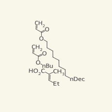 C=CC(=O)OCCCC.C=CC(=O)OCCCCCCCCCCCCCCCCCC.CCC=C(C)C(=O)O